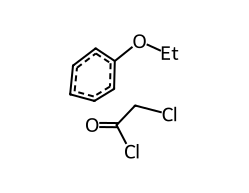 CCOc1ccccc1.O=C(Cl)CCl